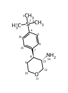 C[Si](C)(C)c1ccc([C@@H]2CCOC[C@H]2N)cc1